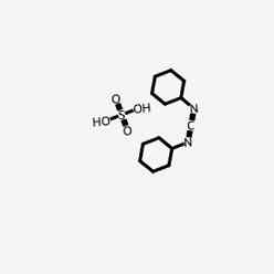 C(=NC1CCCCC1)=NC1CCCCC1.O=S(=O)(O)O